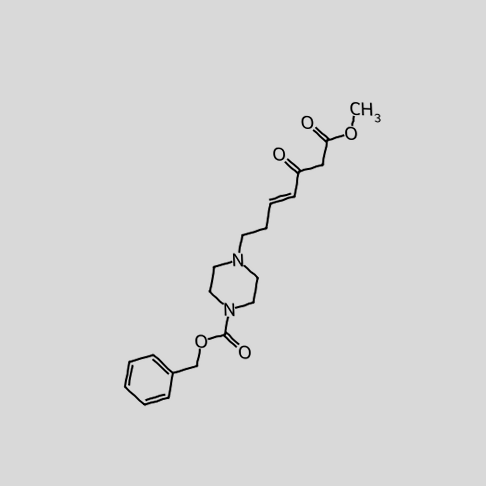 COC(=O)CC(=O)/C=C/CCN1CCN(C(=O)OCc2ccccc2)CC1